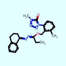 CC/C(=N\N=C1CCCc2ccccc21)OCc1c(C)cccc1-n1nnn(C)c1=O